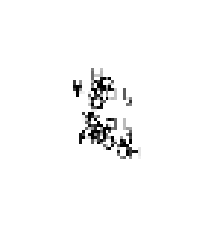 COc1cc(C(=O)O)ccc1NS(=O)(=O)c1cnc(-c2ccc(C3=C[C@H]4CC[C@]3(C)C4(C)C)cc2)s1